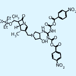 CC[Si](CC)(CC)O[C@H](C)C1C(=O)N2C=C(CN3C[C@H](NC(=NC(=O)OC(=O)c4ccc([N+](=O)[O-])cc4)NC(=O)OC(=O)c4ccc([N+](=O)[O-])cc4)[C@@H](O)C3)[C@H](C)[C@H]12